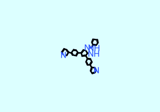 N=C1C(c2ccc(-c3cccnc3)cc2)=CC(c2ccc(-c3cccnc3)cc2)=C/C1=N/Nc1ccccc1